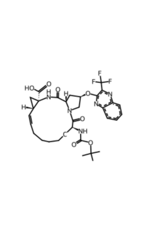 CC(C)(C)OC(=O)N[C@H]1CCCCC/C=C\[C@@H]2C[C@@]2(C(=O)O)NC(=O)[C@@H]2C[C@@H](Oc3nc4ccccc4nc3C(F)(F)F)CN2C1=O